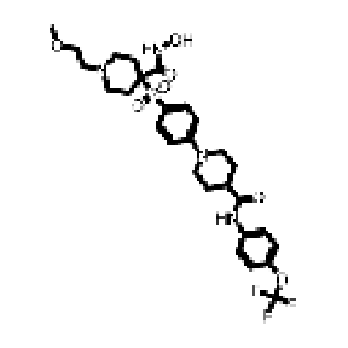 COCCN1CCC(C(=O)NO)(S(=O)(=O)c2ccc(N3CCC(C(=O)Nc4ccc(OC(F)(F)F)cc4)CC3)cc2)CC1